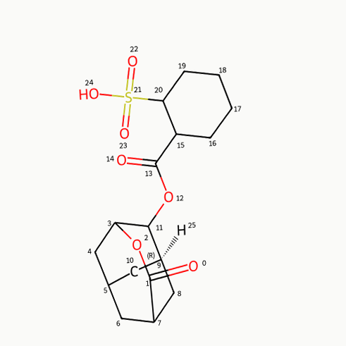 O=C1OC2CC3CC1C[C@@H](C3)C2OC(=O)C1CCCCC1S(=O)(=O)O